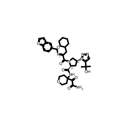 CC(C)(O)c1cnnn1[C@H]1C[C@@H](C(=O)NC2(C(=O)C(N)=O)CCOCC2)N(C(=O)/C(CC2CCCCC2)=N/C(=O)c2ccc3occc3c2)C1